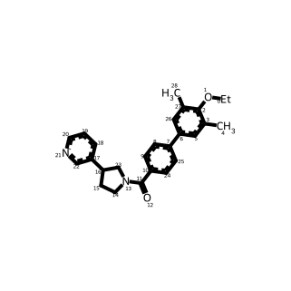 CCOc1c(C)cc(-c2ccc(C(=O)N3CCC(c4cccnc4)C3)cc2)cc1C